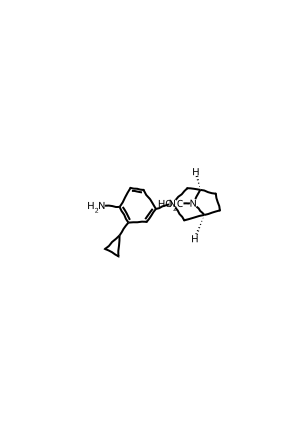 Nc1ccc(N2C[C@H]3CC[C@@H](C2)N3C(=O)O)cc1C1CC1